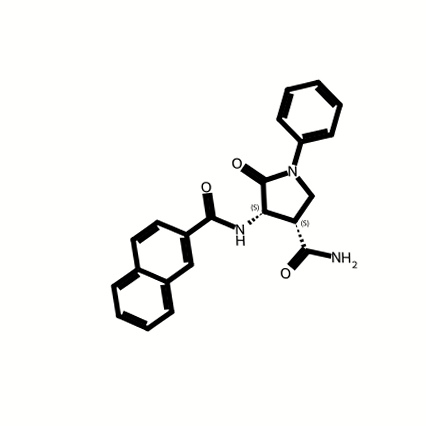 NC(=O)[C@H]1CN(c2ccccc2)C(=O)[C@H]1NC(=O)c1ccc2ccccc2c1